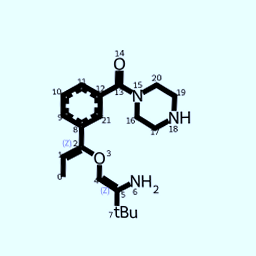 C/C=C(\O/C=C(\N)C(C)(C)C)c1cccc(C(=O)N2CCNCC2)c1